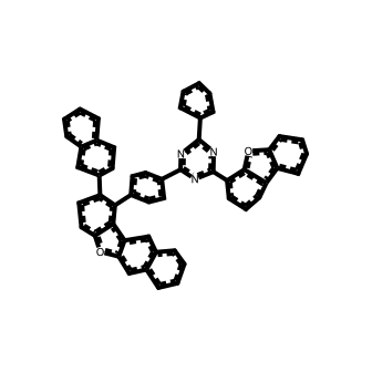 c1ccc(-c2nc(-c3ccc(-c4c(-c5ccc6ccccc6c5)ccc5oc6cc7ccccc7cc6c45)cc3)nc(-c3cccc4c3oc3ccccc34)n2)cc1